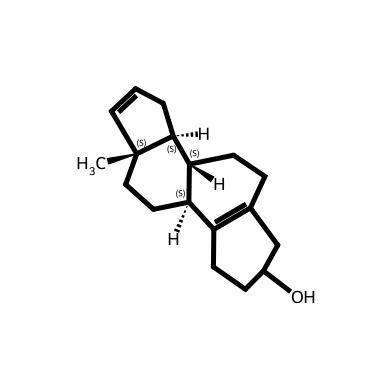 C[C@@]12C=CC[C@H]1[C@@H]1CCC3=C(CCC(O)C3)[C@H]1CC2